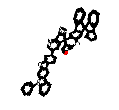 c1ccc(-n2c3ccccc3c3cc4c(cc32)oc2cc(-c3cnc5c(c3)C3(c6ccccc6Oc6cc7c(cc63)-c3ccccc3C73c6ccccc6-c6ccccc63)c3cccnc3-5)ccc24)cc1